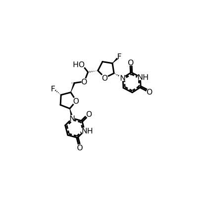 O=c1ccn([C@@H]2O[C@H](C(O)O[CH][C@H]3O[C@@H](n4ccc(=O)[nH]c4=O)C[C@@H]3F)C[C@H]2F)c(=O)[nH]1